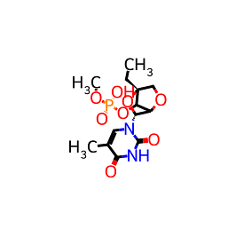 CC[C@@]12COC(C1OP(=O)(O)OC)[C@H](n1cc(C)c(=O)[nH]c1=O)O2